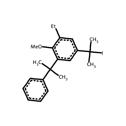 CCc1cc(C(C)(C)I)cc(C(C)(C)c2ccccc2)c1OC